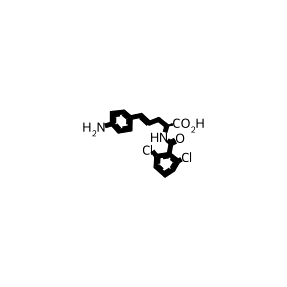 Nc1ccc(/C=C/C[C@H](NC(=O)c2c(Cl)cccc2Cl)C(=O)O)cc1